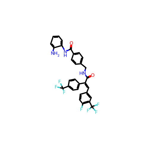 Nc1ccccc1NC(=O)c1ccc(CNC(=O)/C(=C/c2ccc(F)c(C(F)(F)F)c2)c2ccc(C(F)(F)F)cc2)cc1